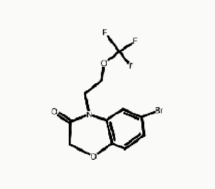 O=C1COc2ccc(Br)cc2N1CCOC(F)(F)F